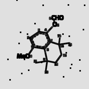 COc1ccc(OC=O)c2c1C(C)(C)CCC2(C)C